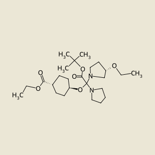 CCOC(=O)[C@H]1CC[C@H](OC(C(=O)OC(C)(C)C)(N2CCCC2)N2CC[C@H](OCC)C2)CC1